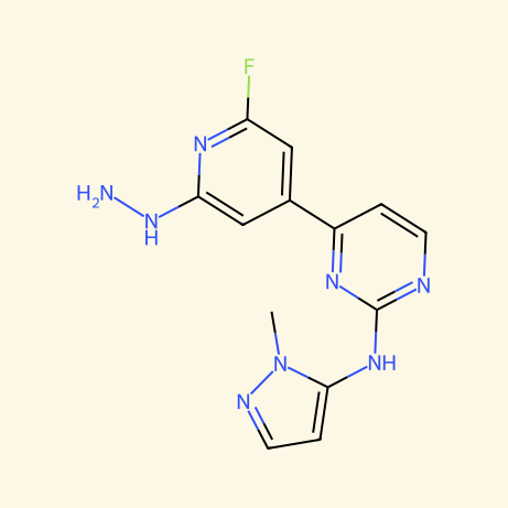 Cn1nccc1Nc1nccc(-c2cc(F)nc(NN)c2)n1